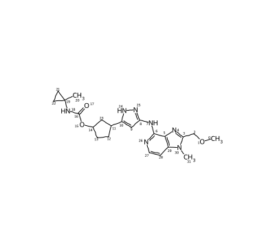 COCc1nc2c(Nc3cc(C4CCC(OC(=O)NC5(C)CC5)C4)[nH]n3)nccc2n1C